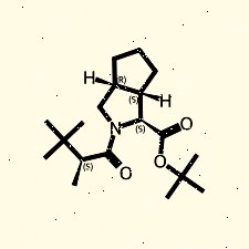 C[C@H](C(=O)N1C[C@@H]2CCC[C@@H]2[C@H]1C(=O)OC(C)(C)C)C(C)(C)C